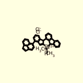 CCC1=Cc2c(-c3ccc4c5c(cccc35)C=C4)cccc2C1c1cccc2c1[CH]([Zr+2][SiH](C)C)c1ccccc1-2.[Cl-].[Cl-]